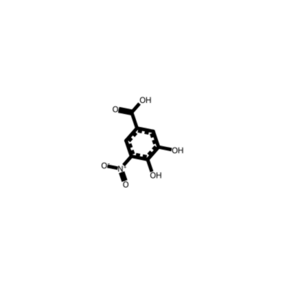 O=C(O)c1cc(O)c(O)c([N+](=O)[O-])c1